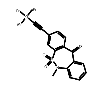 CC(C)[Si](C#Cc1ccc2c(c1)S(=O)(=O)N(C)c1ccccc1C2=O)(C(C)C)C(C)C